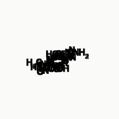 Cc1nc2c(ncn2[C@@]23C[C@H]2[C@@H]2COP(=O)(O)O[C@H]4[C@@H](F)[C@H](n5cnc6c(N)ncnc65)O[C@@H]4COP(=O)(O)O[C@H]2[C@H]3O)c(=O)[nH]1